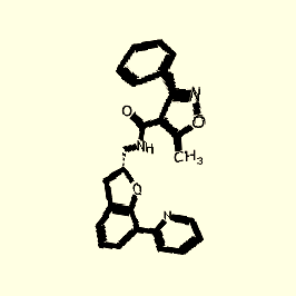 Cc1onc(-c2ccccc2)c1C(=O)NC[C@H]1Cc2cccc(-c3ccccn3)c2O1